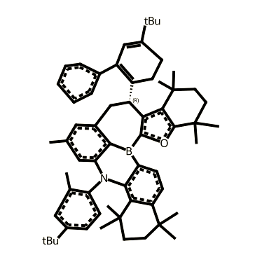 Cc1cc2c3c(c1)N(c1ccc(C(C)(C)C)cc1C)c1c(ccc4c1C(C)(C)CCC4(C)C)B3c1oc3c(c1[C@@H](C1=C(c4ccccc4)C=C(C(C)(C)C)CC1)C2)C(C)(C)CCC3(C)C